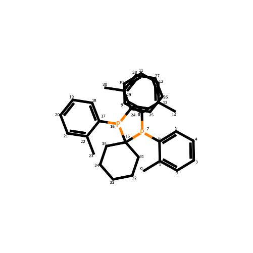 Cc1ccccc1P(c1ccccc1C)C1(P(c2ccccc2C)c2ccccc2C)CCCCC1